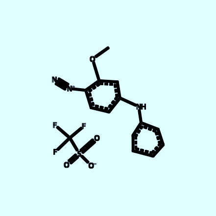 COc1cc(Nc2ccccc2)ccc1[N+]#N.O=S(=O)([O-])C(F)(F)F